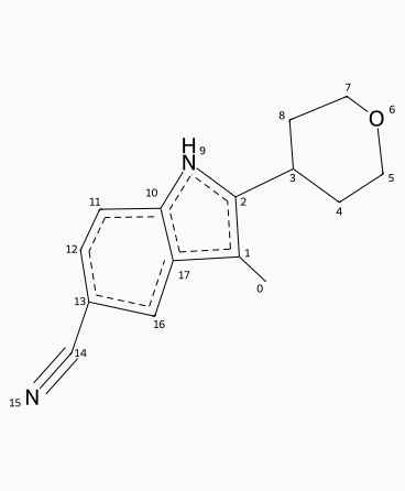 Cc1c(C2CCOCC2)[nH]c2ccc(C#N)cc12